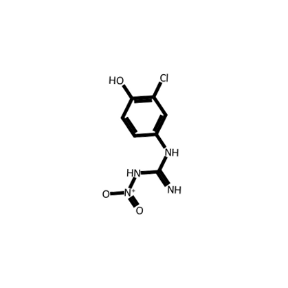 N=C(Nc1ccc(O)c(Cl)c1)N[N+](=O)[O-]